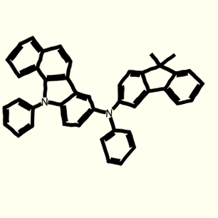 CC1(C)c2ccccc2-c2cc(N(c3ccccc3)c3ccc4c(c3)c3ccc5ccccc5c3n4-c3ccccc3)ccc21